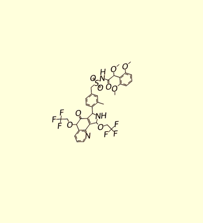 COc1cccc(OC)c1C(OC)C(=O)NS(=O)(=O)Cc1ccc(C2NC(OCC(F)(F)F)C3=C2C(=O)C(OCC(F)(F)F)c2cccnc23)c(C)c1